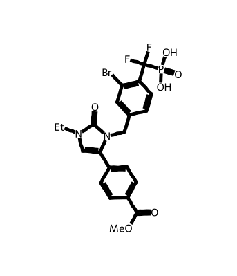 CCn1cc(-c2ccc(C(=O)OC)cc2)n(Cc2ccc(C(F)(F)P(=O)(O)O)c(Br)c2)c1=O